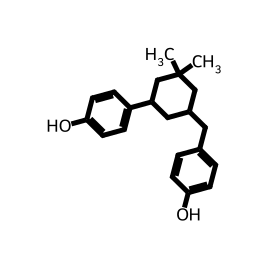 CC1(C)CC(Cc2ccc(O)cc2)CC(c2ccc(O)cc2)C1